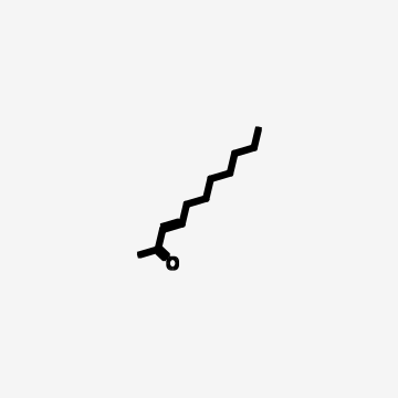 CCCCCCCC=CC(C)=O